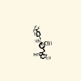 Cl.FC(F)(F)c1ccc(CNc2ccc(Cc3c[nH]c4ccc(Cl)nc34)cn2)cn1